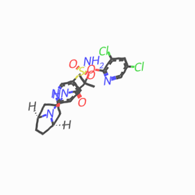 CC(C)(Oc1ncc(Cl)cc1Cl)C(=O)N[C@H]1C[C@H]2CC[C@@H](C1)N2c1ccc(S(N)(=O)=O)cn1